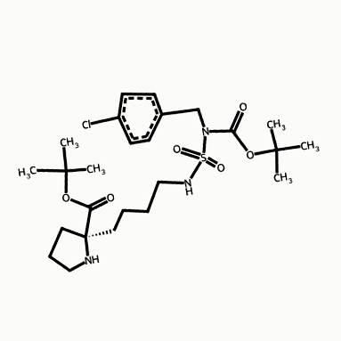 CC(C)(C)OC(=O)N(Cc1ccc(Cl)cc1)S(=O)(=O)NCCCC[C@@]1(C(=O)OC(C)(C)C)CCCN1